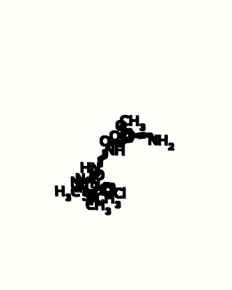 COc1cc(C#CCN)cc2cc(C(=O)NCCCCNC(=O)C[C@@H]3N=C(c4ccc(Cl)cc4)c4c(sc(C)c4C)-n4c(C)nnc43)oc12